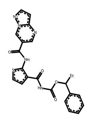 CCC(OC(=O)NC(=O)c1ccsc1NC(=O)c1cnc2ccnn2c1)c1ccccc1